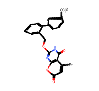 CCOC(=O)c1cccc(-c2ccccc2COc2nc3oc(=O)cc(CC)c3c(=O)[nH]2)c1